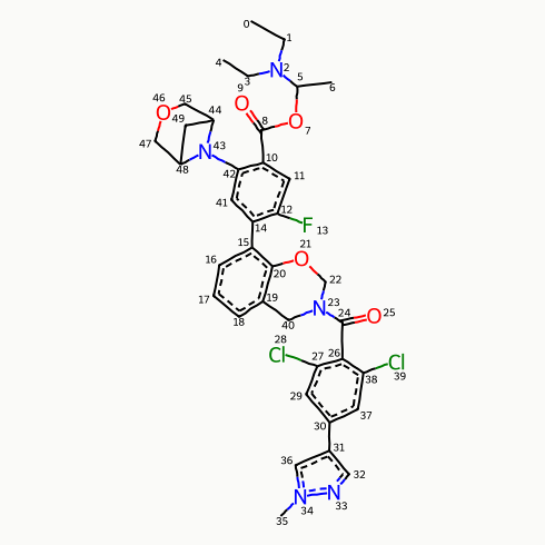 CCN(CC)C(C)OC(=O)c1cc(F)c(-c2cccc3c2OCN(C(=O)c2c(Cl)cc(-c4cnn(C)c4)cc2Cl)C3)cc1N1C2COCC1C2